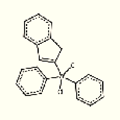 [Cl][Zr]([Cl])([C]1=Cc2ccccc2C1)([c]1ccccc1)[c]1ccccc1